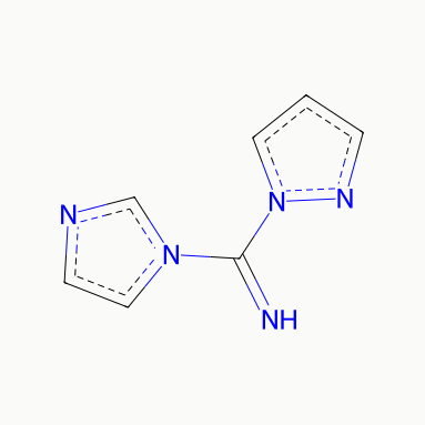 N=C(n1ccnc1)n1cccn1